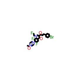 CC(=O)N1CCN(c2c(F)cc3c(=O)c(C(=O)C=Cc4ccc(Br)cc4)cn(CCF)c3c2F)CC1